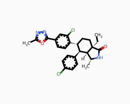 CC[C@@]12CC[C@@H](c3ccc(-c4nnc(C)o4)cc3Cl)[C@H](c3ccc(Cl)cc3)[C@@H]1[C@@H](C)NC2=O